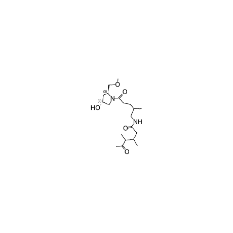 COC[C@@H]1C[C@@H](O)CN1C(=O)CCC(C)CNC(=O)CC(C)C(C)C(C)=O